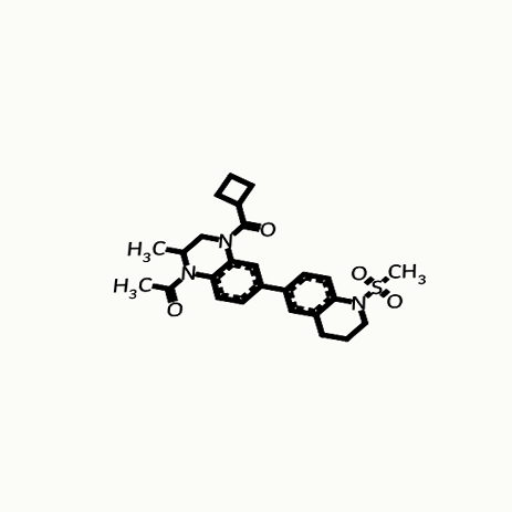 CC(=O)N1c2ccc(-c3ccc4c(c3)CCCN4S(C)(=O)=O)cc2N(C(=O)C2CCC2)CC1C